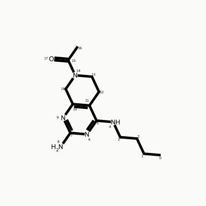 CCCCNc1nc(N)nc2c1CCN(C(C)=O)C2